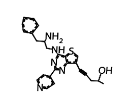 CC(O)CC#Cc1csc2c(NCC(N)Cc3ccccc3)nc(-c3ccncc3)nc12